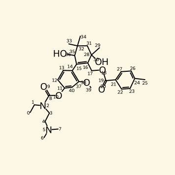 CCN(CCN(C)C)C(=O)Oc1ccc(C2=C(COC(=O)c3ccc(C)cc3)C(C)(O)CC(C)(C)C2O)c(OC)c1